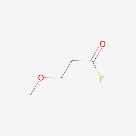 COCCC(=O)F